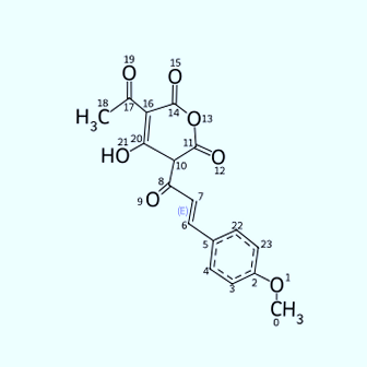 COc1ccc(/C=C/C(=O)C2C(=O)OC(=O)C(C(C)=O)=C2O)cc1